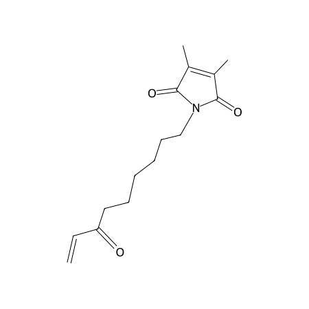 C=CC(=O)CCCCCCN1C(=O)C(C)=C(C)C1=O